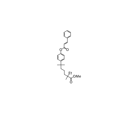 CCC(C)(CCCC(C)(C)c1ccc(OC(=O)/C=C/c2ccccc2)cc1)C(=O)OC